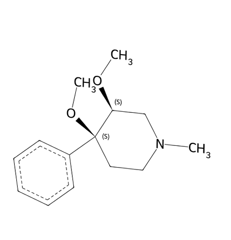 CO[C@H]1CN(C)CC[C@]1(OC)c1ccccc1